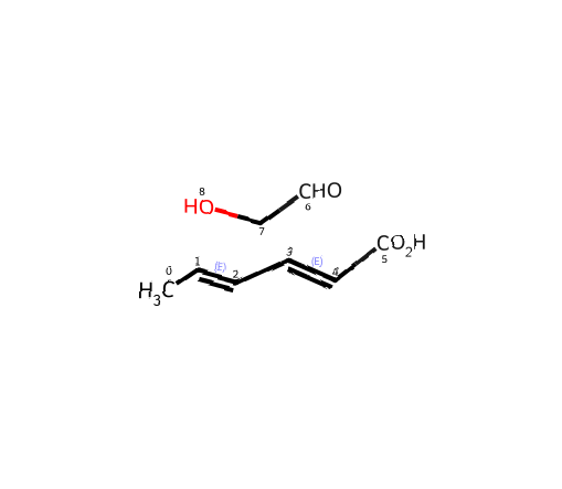 C/C=C/C=C/C(=O)O.O=CCO